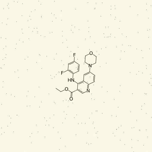 CCOC(=O)c1cnc2ccc(N3CCOCC3)cc2c1Nc1ccc(F)cc1F